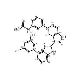 CC(C)(C)C(=O)Nc1cncc(-c2cc3c(-c4nc5c(-c6cc(O)cc(F)c6)ccnc5[nH]4)n[nH]c3cn2)c1